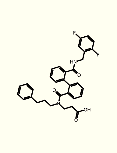 O=C(O)CCN(CCCc1ccccc1)C(=O)c1ccccc1-c1ccccc1C(=O)NCc1cc(F)ccc1F